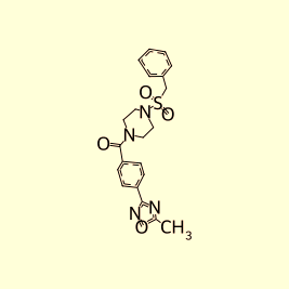 Cc1nc(-c2ccc(C(=O)N3CCN(S(=O)(=O)Cc4ccccc4)CC3)cc2)no1